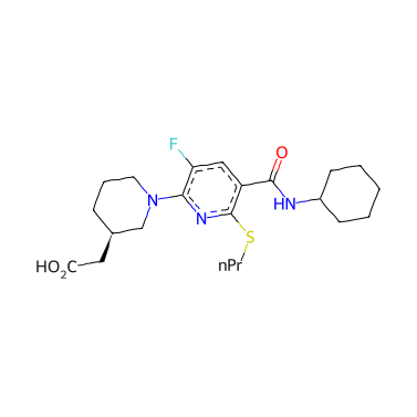 CCCSc1nc(N2CCC[C@H](CC(=O)O)C2)c(F)cc1C(=O)NC1CCCCC1